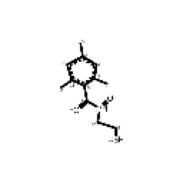 Cc1cc(C)c(C(=O)[PH](=O)CCS)c(C)c1